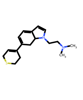 CN(C)CCN1C=CC2=CC=C(C3=CCSCC3)CC21